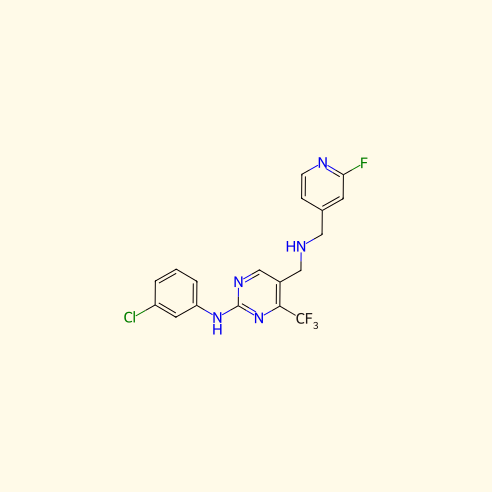 Fc1cc(CNCc2cnc(Nc3cccc(Cl)c3)nc2C(F)(F)F)ccn1